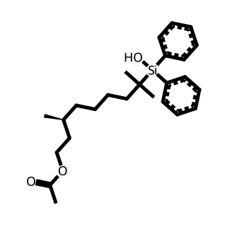 CC(=O)OCC[C@@H](C)CCCCC(C)(C)[Si](O)(c1ccccc1)c1ccccc1